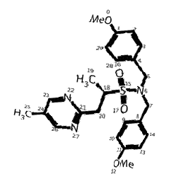 COc1ccc(CN(Cc2ccc(OC)cc2)S(=O)(=O)[C@H](C)Cc2ncc(C)cn2)cc1